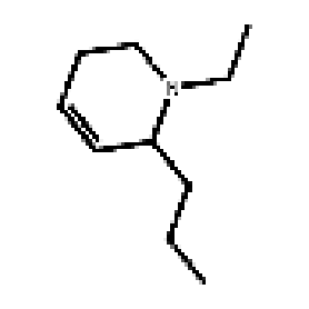 CCCC1C=CCCN1CC